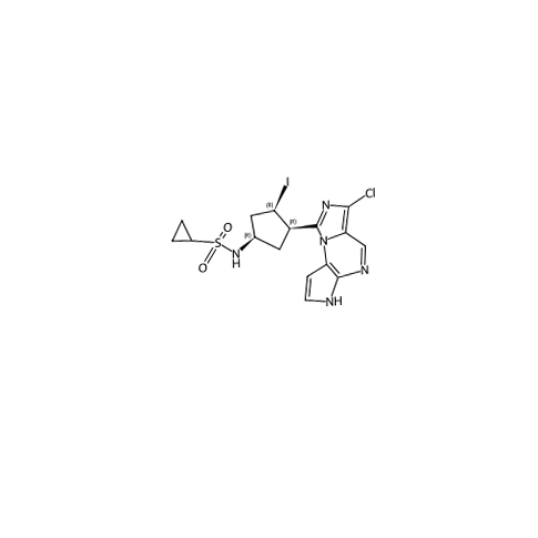 O=S(=O)(N[C@H]1C[C@@H](I)[C@@H](c2nc(Cl)c3cnc4[nH]ccc4n23)C1)C1CC1